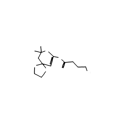 CCCCC(=O)OC1=CC2(CC(C)(C)O1)OCCO2